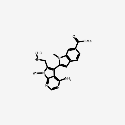 COC(=O)c1ccc2cc(-c3c(CNC=O)n(C(C)C)c4ncnc(N)c34)n(C)c2c1